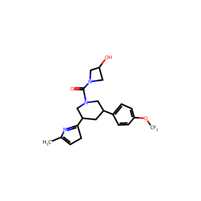 CC1=CCC(C2CC(c3ccc(OC(F)(F)F)cc3)CN(C(=O)N3CC(O)C3)C2)=N1